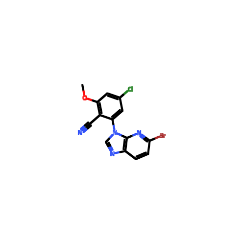 COc1cc(Cl)cc(-n2cnc3ccc(Br)nc32)c1C#N